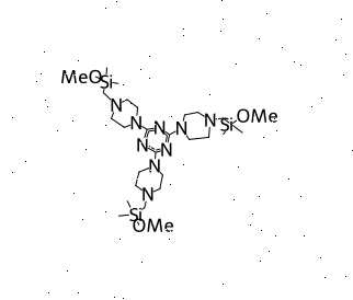 CO[Si](C)(C)CN1CCN(c2nc(N3CCN(C[Si](C)(C)OC)CC3)nc(N3CCN(C[Si](C)(C)OC)CC3)n2)CC1